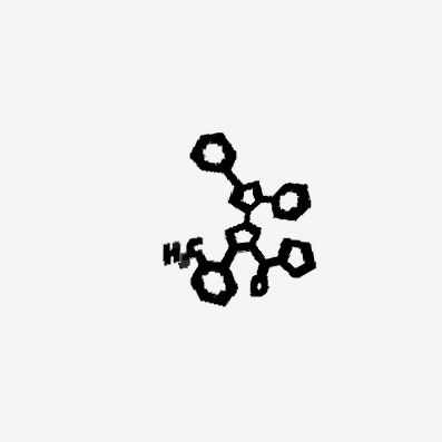 Cc1ccccc1C1CC(C2=CC(c3ccccc3)C=C2c2ccccc2)=CC1C(=O)C1=CC=CC1